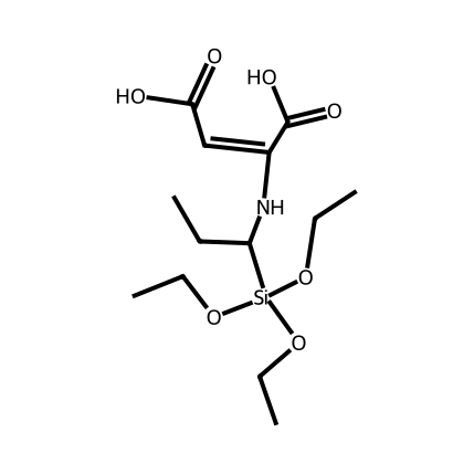 CCO[Si](OCC)(OCC)C(CC)NC(=CC(=O)O)C(=O)O